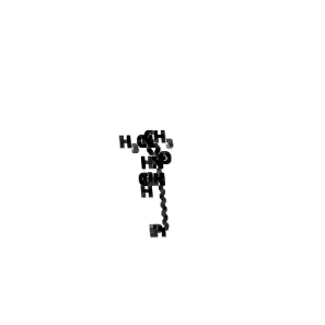 CC(C)CCCCCCCCCCCNCCCNC(=O)c1ccc(N(C)C)cc1.Cl